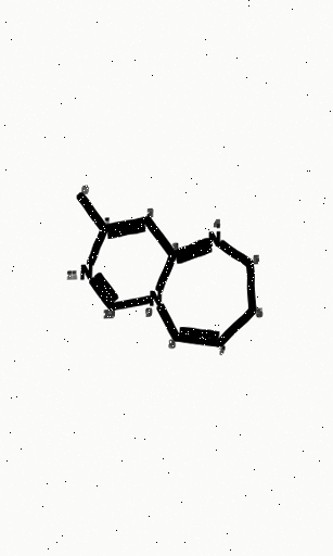 CC1=CC2=NCCC=CN2C=N1